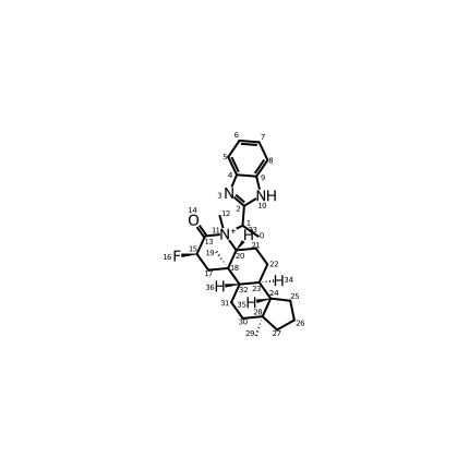 CC(c1nc2ccccc2[nH]1)[N+]1(C)C(=O)[C@H](F)C[C@@]2(C)[C@H]1CC[C@H]1[C@@H]3CCC[C@@]3(C)CC[C@@H]12